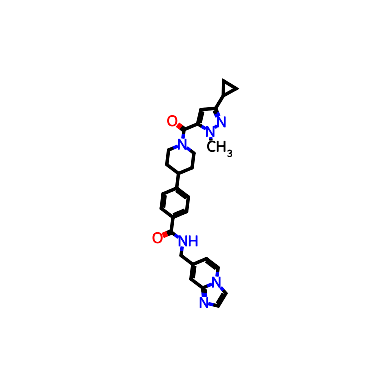 Cn1nc(C2CC2)cc1C(=O)N1CCC(c2ccc(C(=O)NCc3ccn4ccnc4c3)cc2)CC1